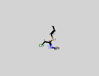 C/C=C/S/C(CCl)=N\C(C)C